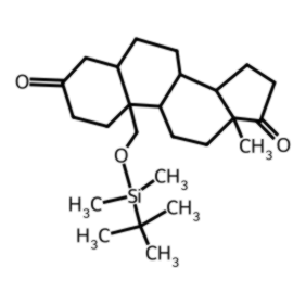 CC12CCC3C(CCC4CC(=O)CCC43CO[Si](C)(C)C(C)(C)C)C1CCC2=O